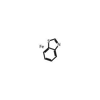 [Fe].c1ccc2scnc2c1